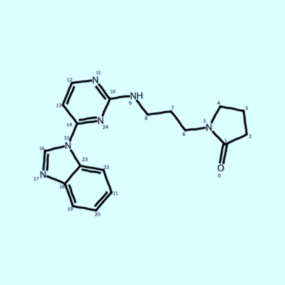 O=C1CCCN1CCCNc1nccc(-n2cnc3ccccc32)n1